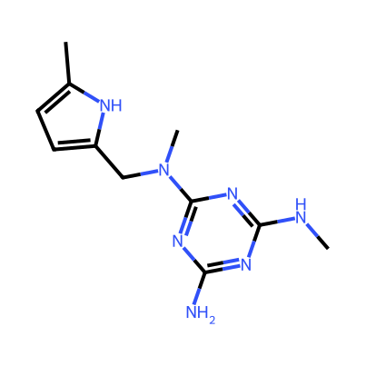 CNc1nc(N)nc(N(C)Cc2ccc(C)[nH]2)n1